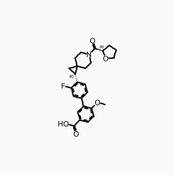 COc1ccc(C(=O)O)cc1-c1ccc([C@@H]2CC23CCN(C(=O)[C@H]2CCCO2)CC3)c(F)c1